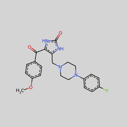 COc1ccc(C(=O)c2[nH]c(=O)[nH]c2CN2CCN(c3ccc(F)cc3)CC2)cc1